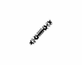 CC1(C)COB(c2ccc(C(F)(F)C(F)(F)C(F)(F)C(F)(F)c3ccc(B4OCC(C)(C)CO4)cn3)nc2)OC1